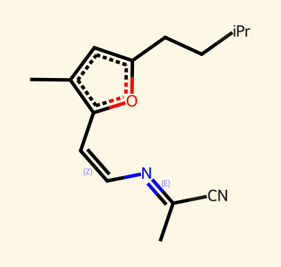 C/C(C#N)=N\C=C/c1oc(CCC(C)C)cc1C